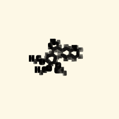 COc1cc(-c2sncc2-c2ccc3cccnc3c2)cc(OC)c1OC